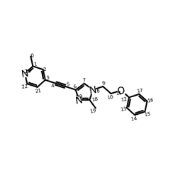 Cc1cc(C#Cc2cn(CCOc3ccccc3)c(C)n2)ccn1